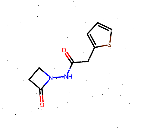 O=C(Cc1cccs1)NN1CCC1=O